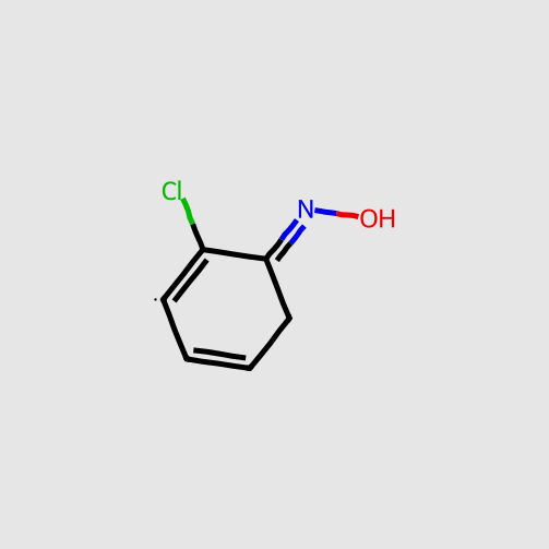 ON=C1CC=C[C]=C1Cl